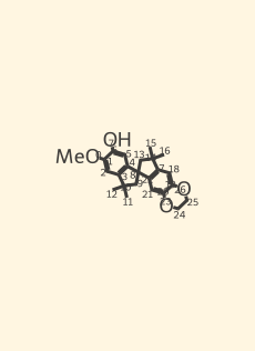 COc1cc2c(cc1O)C1(CC2(C)C)CC(C)(C)c2cc3c(cc21)OCCO3